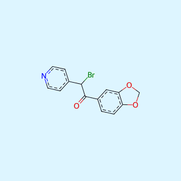 O=C(c1ccc2c(c1)OCO2)C(Br)c1ccncc1